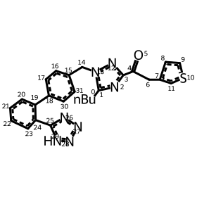 CCCCc1nc(C(=O)Cc2ccsc2)nn1Cc1ccc(-c2ccccc2-c2nnn[nH]2)cc1